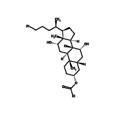 CCC(=O)O[C@@H]1CC[C@@]2(C)[C@@H](C1)C[C@@H](O)[C@@H]1[C@@H]2C[C@H](O)[C@]2(C)[C@@H]([C@H](C)CCCC(C)C)CC[C@@H]12